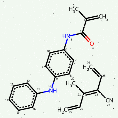 C=C(C)C(=O)Nc1ccc(Nc2ccccc2)cc1.C=CC(C)=C(C#N)C=C